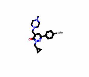 CSc1ccc(-c2cc(CN3CCN(C)CC3)c(=O)n(CC3CC3)n2)cc1